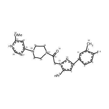 CCCc1cc(-c2ccc(F)c(C)c2)nn1CC(=O)N1CCN(c2cc(OC)ncn2)CC1